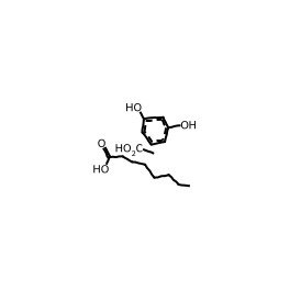 CC(=O)O.CCCCCCCC(=O)O.Oc1cccc(O)c1